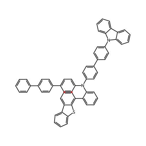 c1ccc(-c2ccc(-c3ccc(N(c4ccc(-c5ccc(-n6c7ccccc7c7ccccc76)cc5)cc4)c4ccccc4-c4cccc5c4sc4ccccc45)cc3)cc2)cc1